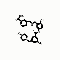 CNC(=O)c1cc(CNCc2cc(NC(=O)c3cc(CN4CCN(C)CC4)cc(C(F)(F)F)c3)ccc2C)ccn1